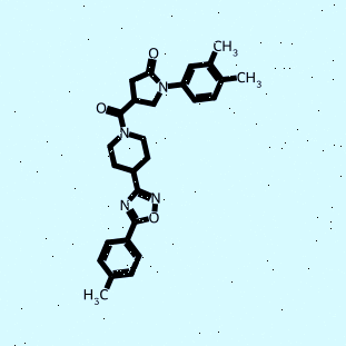 Cc1ccc(-c2nc(C3CCN(C(=O)C4CC(=O)N(c5ccc(C)c(C)c5)C4)CC3)no2)cc1